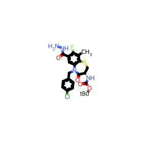 Cc1c(F)c(C(=O)NN)cc2c1SC[C@H](NC(=O)OC(C)(C)C)C(=O)N2Cc1ccc(Cl)cc1